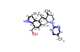 C=C1CCN(c2ncc(C(F)(F)F)cn2)C/C1=C(/C)c1c(F)cc(CO)c2[nH]ccc12